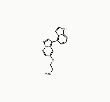 COCCOc1cnn2ncc(-c3ccnc4[nH]ccc34)c2c1